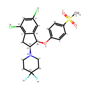 CS(=O)(=O)c1ccc(O[C@@H]2c3cc(Cl)cc(Cl)c3C[C@@H]2N2CCC(F)(F)CC2)cc1